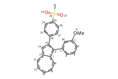 COc1cccc(-c2c3cccccc-3cc2-c2ccc(S(C)(=O)=O)cc2)c1